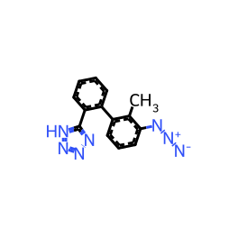 Cc1c(N=[N+]=[N-])cccc1-c1ccccc1-c1nnn[nH]1